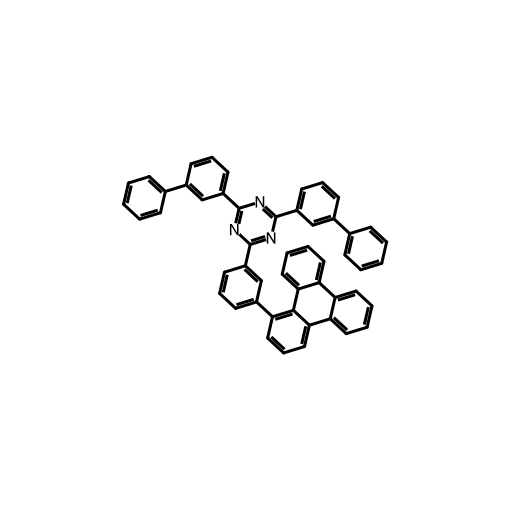 c1ccc(-c2cccc(-c3nc(-c4cccc(-c5ccccc5)c4)nc(-c4cccc(-c5cccc6c7ccccc7c7ccccc7c56)c4)n3)c2)cc1